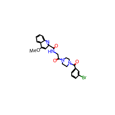 COc1cc(C(=O)NCC(=O)N2CCN(C(=O)c3cccc(Br)c3)CC2)nc2ccccc12